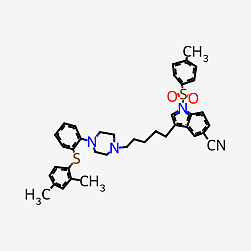 Cc1ccc(S(=O)(=O)n2cc(CCCCCN3CCN(c4ccccc4Sc4ccc(C)cc4C)CC3)c3cc(C#N)ccc32)cc1